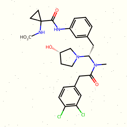 CN(C(=O)Cc1ccc(Cl)c(Cl)c1)[C@@H](Cc1cccc(NC(=O)C2(NC(=O)O)CC2)c1)N1CC[C@H](O)C1